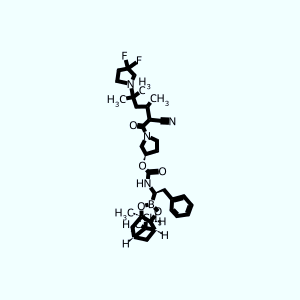 CC(CC(C)(C)N1CCC(F)(F)C1)C(C#N)C(=O)N1CC[C@H](OC(=O)N[C@@H](Cc2ccccc2)B2O[C@H]3[C@H]4C[C@@H](C[C@@]3(C)O2)C4(C)C)C1